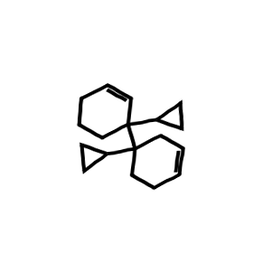 C1=CC(C2CC2)(C2(C3CC3)CC=CCC2)CCC1